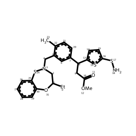 CCC1CN(Cc2cc(C(CC(=O)OC)c3ccc(SN)s3)ccc2C)Sc2ccccc2O1